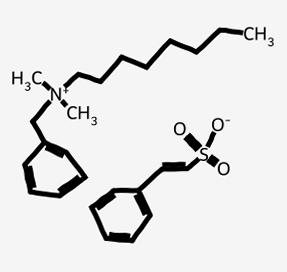 CCCCCCCC[N+](C)(C)Cc1ccccc1.O=S(=O)([O-])C=Cc1ccccc1